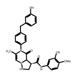 COc1ccc(NC(=O)[C@H]2CNN3C=C(C)N(c4ccc(Cc5cccc(O)c5)cc4)C(=O)C23)cc1C#N